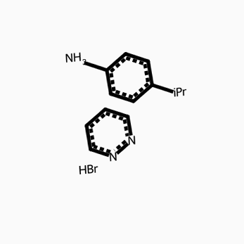 Br.Cc1ccc(C(C)C)cc1.N.c1ccnnc1